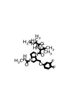 CNC(=O)N1CC(COc2ccc(F)c(F)c2)C2C1CCN2C(=O)C(NC(=O)C(C)NC)C(C)(C)C